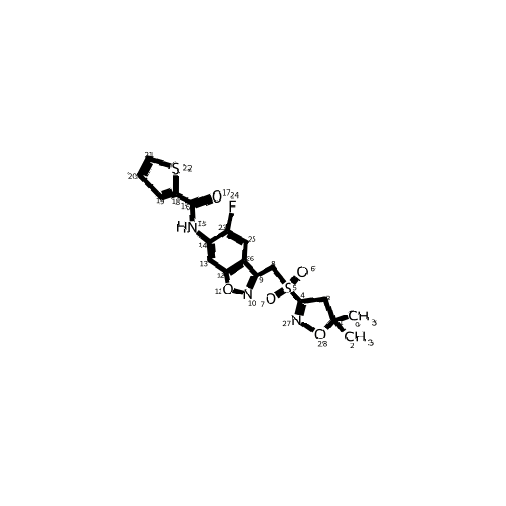 CC1(C)CC(S(=O)(=O)Cc2noc3cc(NC(=O)c4cccs4)c(F)cc23)=NO1